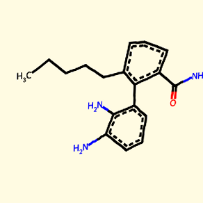 CCCCCc1cccc(C(N)=O)c1-c1cccc(N)c1N